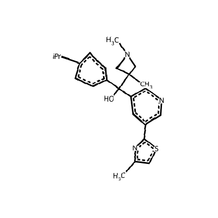 Cc1csc(-c2cncc(C(O)(c3ccc(C(C)C)cc3)C3(C)CN(C)C3)c2)n1